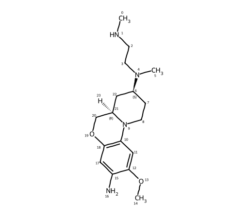 CNCCN(C)[C@H]1CCN2c3cc(OC)c(N)cc3OC[C@H]2C1